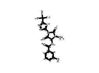 CN1C(=O)N(c2nnc(C(F)(F)F)s2)C(=O)C1OC(=O)c1cccc(Cl)c1